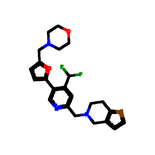 FC(F)c1cc(CN2CCc3sccc3C2)ncc1-c1ccc(CN2CCOCC2)o1